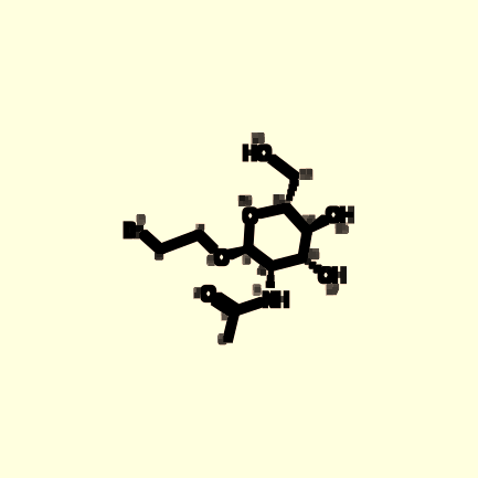 CC(=O)N[C@@H]1[C@@H](OCCBr)O[C@H](CO)[C@@H](O)[C@@H]1O